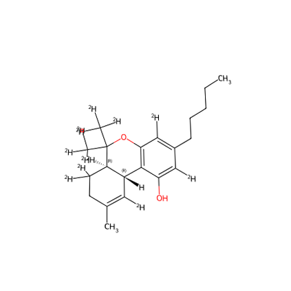 [2H]C1=C(C)CC([2H])([2H])[C@]2([2H])[C@@H]1c1c(O)c([2H])c(CCCCC)c([2H])c1OC2(C([2H])([2H])[2H])C([2H])([2H])[2H]